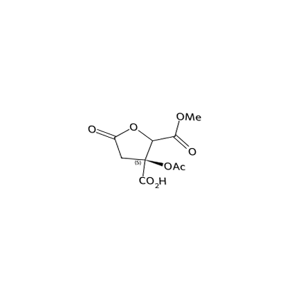 COC(=O)C1OC(=O)C[C@@]1(OC(C)=O)C(=O)O